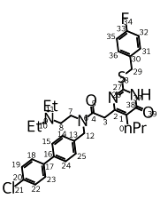 CCCc1c(CC(=O)N(CCN(CC)CC)Cc2ccc(-c3ccc(Cl)cc3)cc2)nc(SCc2ccc(F)cc2)[nH]c1=O